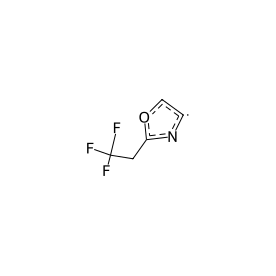 FC(F)(F)Cc1n[c]co1